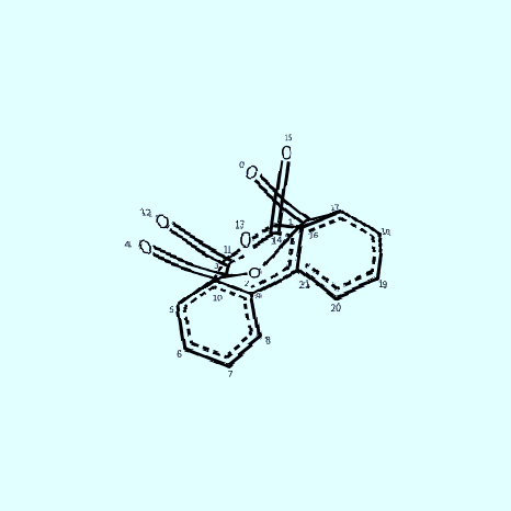 O=C1OC(=O)c2cccc3c2c(=O)oc(=O)c2c1cccc23